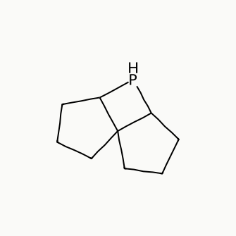 C1CC2PC3CCCC23C1